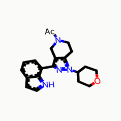 CC(=O)N1CCc2c(c(-c3cccc4cc[nH]c34)nn2C2CCOCC2)C1